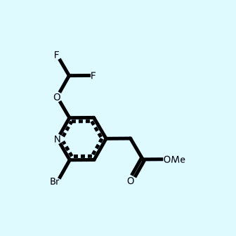 COC(=O)Cc1cc(Br)nc(OC(F)F)c1